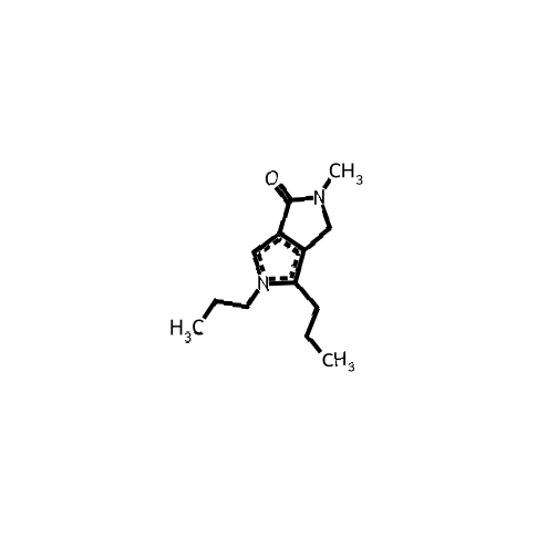 CCCc1c2c(cn1CCC)C(=O)N(C)C2